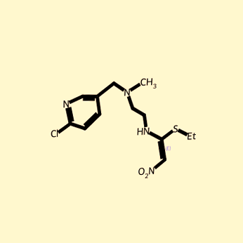 CCS/C(=C/[N+](=O)[O-])NCCN(C)Cc1ccc(Cl)nc1